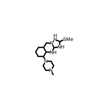 CSC1NC2NC3C(CCCC3N3CCN(C)CC3)CN2N1